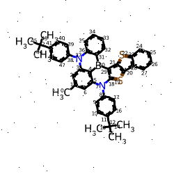 Cc1cc2c3c(c1)N(c1ccc(C(C)(C)C)cc1)c1sc4c(sc5ccccc54)c1B3c1ccccc1N2c1ccc(C(C)(C)C)cc1